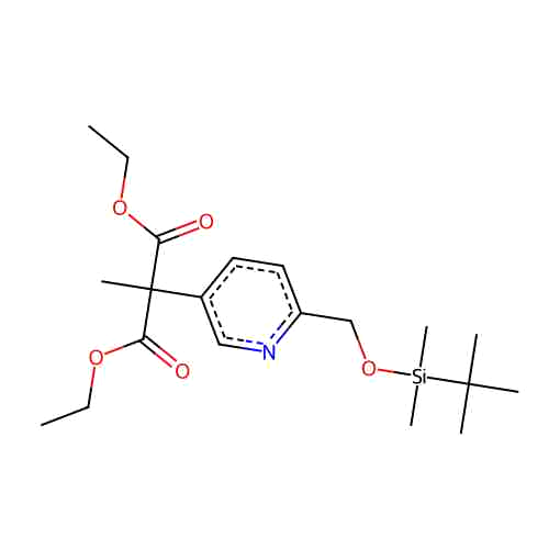 CCOC(=O)C(C)(C(=O)OCC)c1ccc(CO[Si](C)(C)C(C)(C)C)nc1